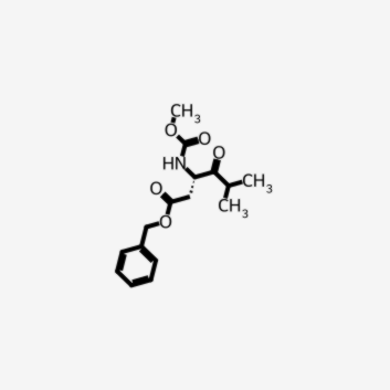 COC(=O)N[C@@H](CC(=O)OCc1ccccc1)C(=O)C(C)C